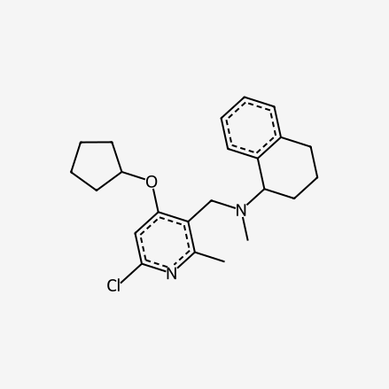 Cc1nc(Cl)cc(OC2CCCC2)c1CN(C)C1CCCc2ccccc21